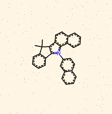 CC1(C)c2ccccc2-c2c1c1ccc3ccccc3c1n2-c1ccc2ccccc2c1